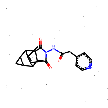 CC1=C(C)C2C3CC3C1C1C(=O)N(NC(=O)Cc3ccncc3)C(=O)C21